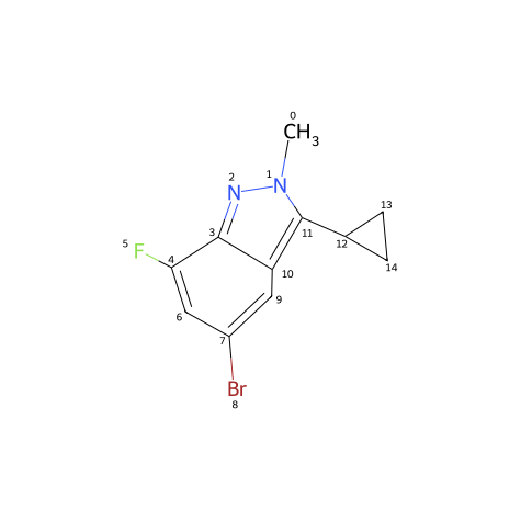 Cn1nc2c(F)cc(Br)cc2c1C1CC1